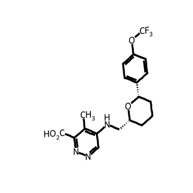 Cc1c(NC[C@H]2CCC[C@@H](c3ccc(OC(F)(F)F)cc3)O2)cnnc1C(=O)O